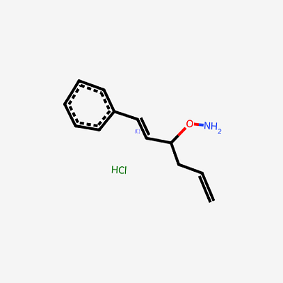 C=CCC(/C=C/c1ccccc1)ON.Cl